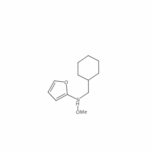 CO[SiH](CC1CCCCC1)c1ccco1